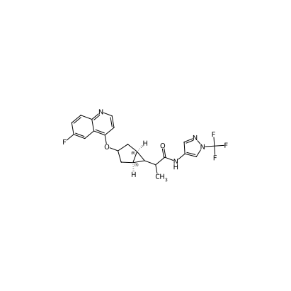 CC(C(=O)Nc1cnn(C(F)(F)F)c1)C1[C@H]2CC(Oc3ccnc4ccc(F)cc34)C[C@@H]12